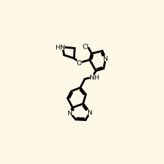 Clc1cncc(NCc2ccc3nccnc3c2)c1OC1CNC1